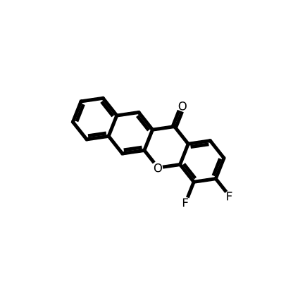 O=c1c2cc3ccccc3cc2oc2c(F)c(F)ccc12